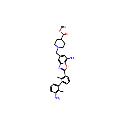 Cc1c(N)cccc1-c1cccc(-c2nc3cc(CN4CCC(C(=O)OC(C)(C)C)CC4)cc(N)c3o2)c1C